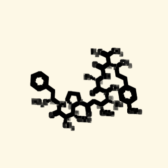 C=C(C)[C@@H](C(=O)N[C@H](C(=O)N(C)[C@@H]([C@@H](C)CC)[C@@H](CC(=O)N1CCC[C@H]1[C@H](OC)[C@@H](C)C(=O)N[C@@H](Cc1ccccc1)C(=O)O)OC)C(C)C)N(C)CCc1ccc(OC)cc1